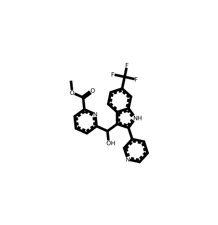 COC(=O)c1cccc(C(O)c2c(-c3cccnc3)[nH]c3cc(C(F)(F)F)ccc23)n1